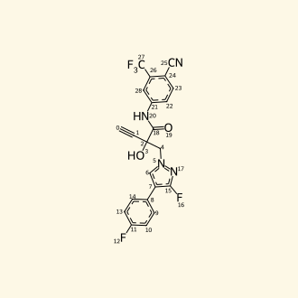 C#CC(O)(Cn1cc(-c2ccc(F)cc2)c(F)n1)C(=O)Nc1ccc(C#N)c(C(F)(F)F)c1